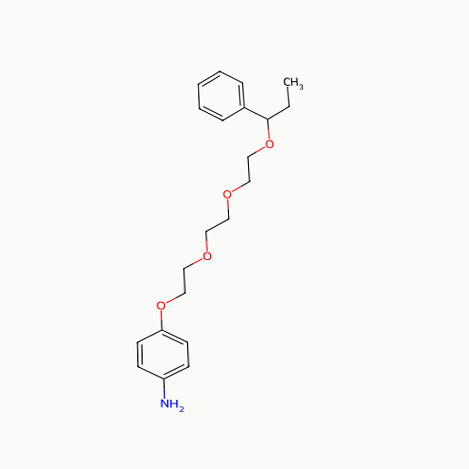 CCC(OCCOCCOCCOc1ccc(N)cc1)c1ccccc1